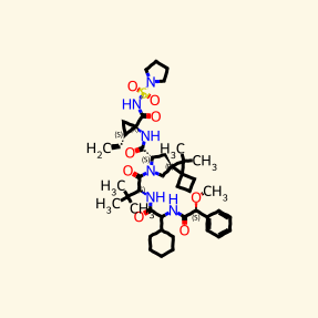 C=C[C@@H]1C[C@]1(NC(=O)[C@@H]1C[C@@]2(CN1C(=O)[C@@H](NC(=O)C(NC(=O)[C@@H](OC)c1ccccc1)C1CCCCC1)C(C)(C)C)C(C)(C)C21CCC1)C(=O)NS(=O)(=O)N1CCCC1